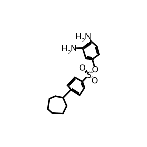 Nc1ccc(OS(=O)(=O)c2ccc(C3CCCCCC3)cc2)cc1N